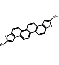 CCCc1cc2c(ccc3c2ccc2c4ccc5oc(CCC)cc5c4ccc32)o1